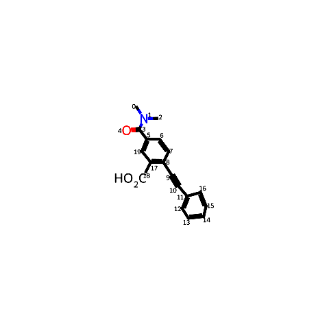 CN(C)C(=O)c1ccc(C#Cc2ccccc2)c(C(=O)O)c1